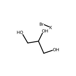 OCC(O)CO.[K][Br]